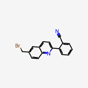 N#Cc1ccccc1-c1ccc2cc(CBr)ccc2n1